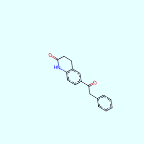 O=C1CCc2cc(C(=O)Cc3ccccc3)ccc2N1